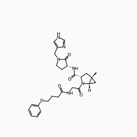 C[C@@]12C[C@@H]1N(C(=O)CNC(=O)CCCOc1ccccc1)[C@H](C(=O)N[C@@H]1CCN(Cc3c[nH]cn3)C1=O)C2